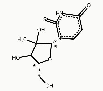 CC1(O)C(O)[C@@H](CO)O[C@H]1n1ccc(=O)[nH]c1=S